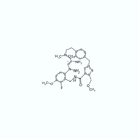 COCc1nn(Cc2ccc3c(c2)CN(C)CC3)cc1C(=O)NCc1c(N(N)/C=C(/C)N)ccc(OC)c1F